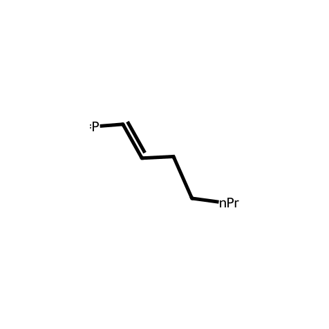 CCCCCC=C[P]